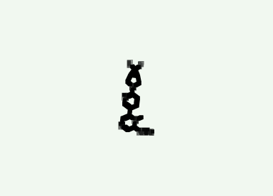 CNC1C=NC=C(c2ccc(N3CC4C(C3)C4(F)F)nc2)N1C